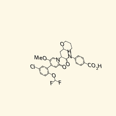 COc1cn(C(CC2CCCCO2)C(=O)Nc2ccc(C(=O)O)cc2)c(=O)cc1-c1cc(Cl)ccc1OC(F)F